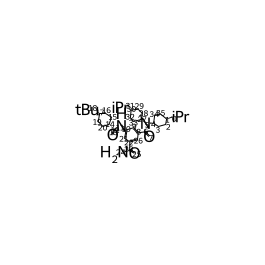 CC(C)[C@H]1CC[C@@H](N(C(=O)c2cc(NC(=O)[C@H]3CC[C@@H](C(C)(C)C)CC3)cc(C(N)=O)c2)[C@H]2CC[C@@H](C(C)C)CC2)CC1